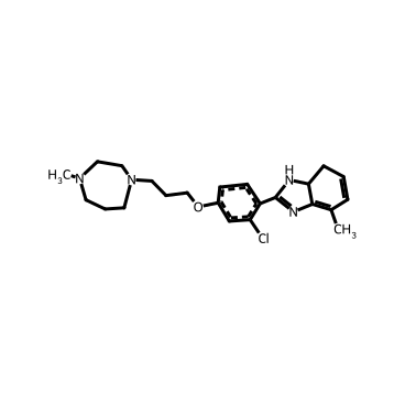 CC1=C2N=C(c3ccc(OCCCN4CCCN(C)CC4)cc3Cl)NC2CC=C1